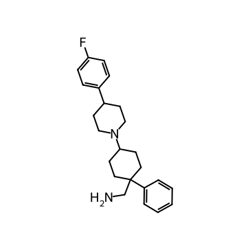 NCC1(c2ccccc2)CCC(N2CCC(c3ccc(F)cc3)CC2)CC1